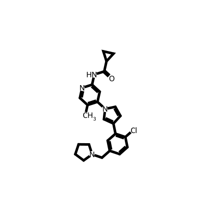 Cc1cnc(NC(=O)C2CC2)cc1-n1ccc(-c2cc(CN3CCCC3)ccc2Cl)c1